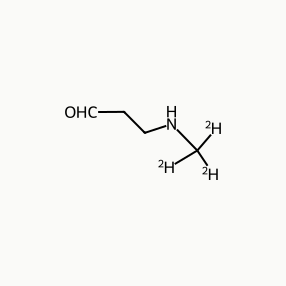 [2H]C([2H])([2H])NCCC=O